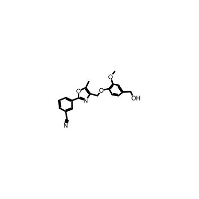 COc1cc(CO)ccc1OCc1nc(-c2cccc(C#N)c2)oc1C